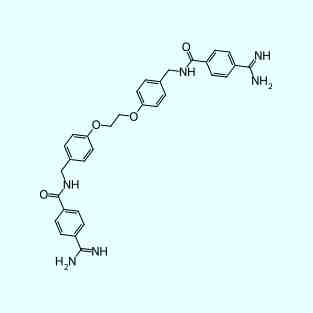 N=C(N)c1ccc(C(=O)NCc2ccc(OCCOc3ccc(CNC(=O)c4ccc(C(=N)N)cc4)cc3)cc2)cc1